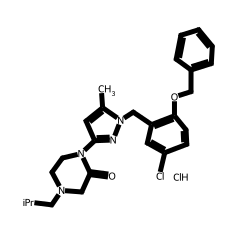 Cc1cc(N2CCN(CC(C)C)CC2=O)nn1Cc1cc(Cl)ccc1OCc1ccccc1.Cl